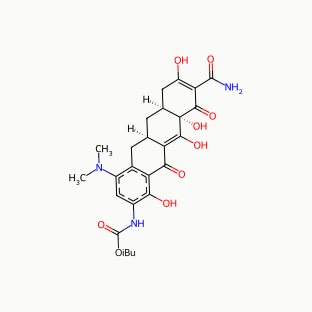 CC(C)COC(=O)Nc1cc(N(C)C)c2c(c1O)C(=O)C1=C(O)[C@]3(O)C(=O)C(C(N)=O)=C(O)C[C@@H]3C[C@@H]1C2